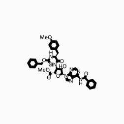 COC(=O)[C@H]1O[C@@H](n2cnc3c(NC(=O)c4ccccc4)ncnc32)[C@H](O)[C@@H]1NC(=O)[C@H](Cc1ccc(OC)cc1)NC(=O)OCc1ccccc1